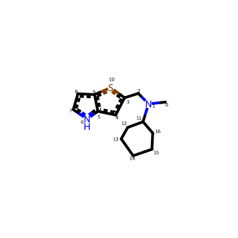 CN(Cc1cc2[nH]ccc2s1)C1CCCCC1